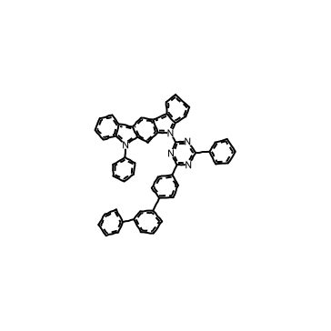 c1ccc(-c2cccc(-c3ccc(-c4nc(-c5ccccc5)nc(-n5c6ccccc6c6cc7c8ccccc8n(-c8ccccc8)c7cc65)n4)cc3)c2)cc1